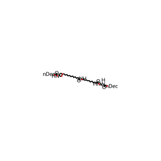 CCCCCCCCCCCC(=O)NCCNC(=O)CCCCCCCCCCCNC(=O)CCCCCCCCCCCC1CCC(NC(=O)CCCCCCCCCCC)CC1